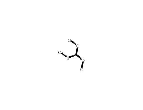 ClOC(OCl)OCl